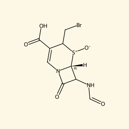 O=CNC1C(=O)N2C=C(C(=O)O)C(CBr)[S+]([O-])[C@H]12